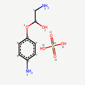 NCC(O)Oc1ccc(N)cc1.O=S(=O)(O)O